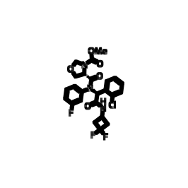 COC(=O)N1COC[C@H]1C(=O)N(c1cccc(F)c1)[C@H](C(=O)NC1CC(F)(F)C1)c1ccccc1Cl